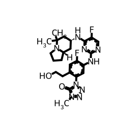 Cn1nnn(-c2cc(Nc3ncc(F)c(N[C@@H]4C[C@@H]5CCCN5C(C)(C)C4)n3)c(F)cc2CCO)c1=O